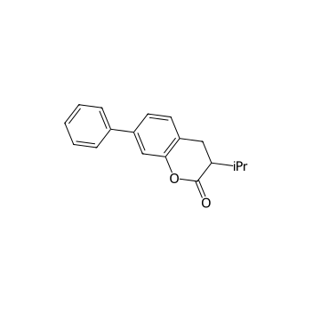 CC(C)C1Cc2ccc(-c3ccccc3)cc2OC1=O